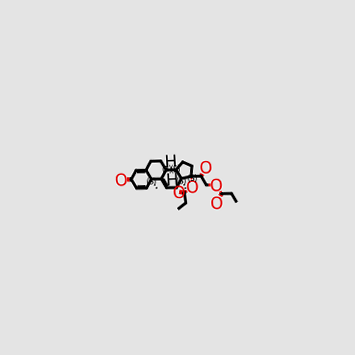 CCC(=O)OCC(=O)[C@]1(OC(=O)CC)CC[C@H]2[C@@H]3CCC4=CC(=O)C=C[C@]4(C)C3=CC[C@@]21C